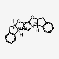 c1ccc2c(c1)CC1Oc3c4[n+](cn3[C@@H]21)[C@H]1c2ccccc2C[C@H]1O4